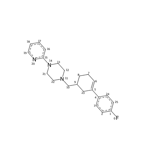 Fc1ccc(C2=CCCC(CN3CCN(c4ccccn4)CC3)C2)cc1